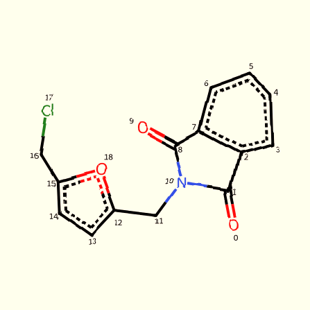 O=C1c2ccccc2C(=O)N1Cc1ccc(CCl)o1